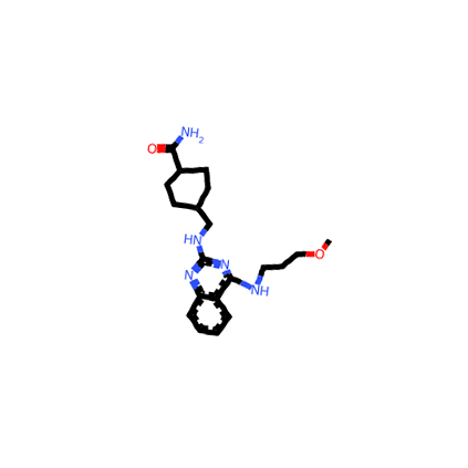 COCCCNc1nc(NCC2CCC(C(N)=O)CC2)nc2ccccc12